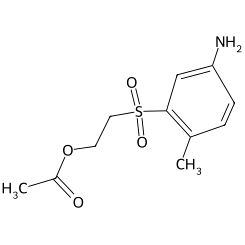 CC(=O)OCCS(=O)(=O)c1cc(N)ccc1C